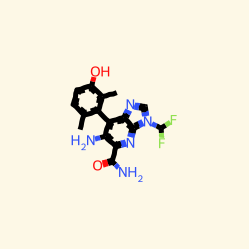 Cc1ccc(O)c(C)c1-c1c(N)c(C(N)=O)nc2c1ncn2C(F)F